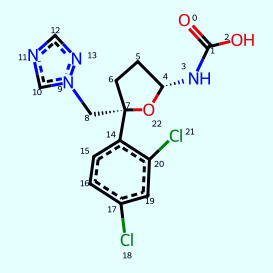 O=C(O)N[C@H]1CC[C@](Cn2cncn2)(c2ccc(Cl)cc2Cl)O1